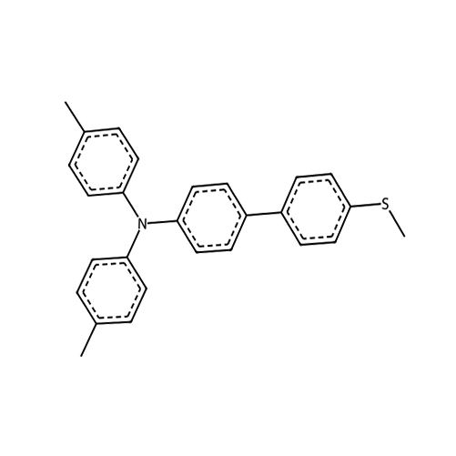 CSc1ccc(-c2ccc(N(c3ccc(C)cc3)c3ccc(C)cc3)cc2)cc1